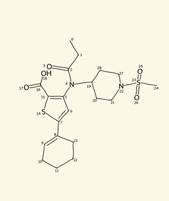 CCC(=O)N(c1cc(C2=CCCCC2)sc1C(=O)O)C1CCN(S(C)(=O)=O)CC1